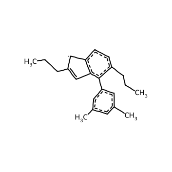 CCCC1=Cc2c(ccc(CCC)c2-c2cc(C)cc(C)c2)[CH]1